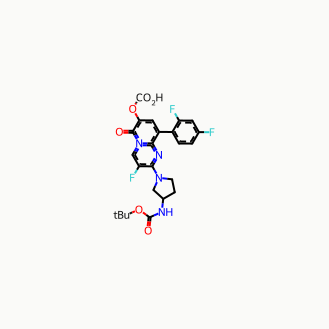 CC(C)(C)OC(=O)NC1CCN(c2nc3c(-c4ccc(F)cc4F)cc(OC(=O)O)c(=O)n3cc2F)C1